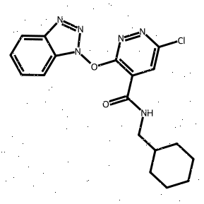 O=C(NCC1CCCCC1)c1cc(Cl)nnc1On1nnc2ccccc21